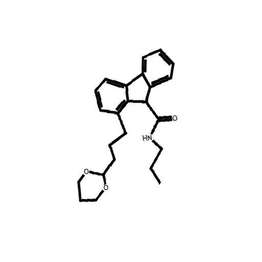 CCCNC(=O)C1c2ccccc2-c2cccc(CCCC3OCCCO3)c21